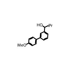 COc1ccc(-c2cccc(C(O)C(C)C)c2)cc1